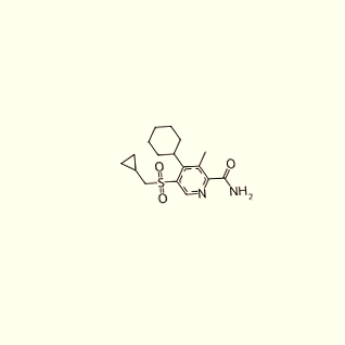 Cc1c(C(N)=O)ncc(S(=O)(=O)CC2CC2)c1C1CCCCC1